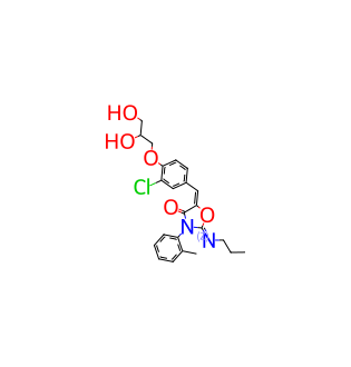 CCC/N=C1\OC(=Cc2ccc(OCC(O)CO)c(Cl)c2)C(=O)N1c1ccccc1C